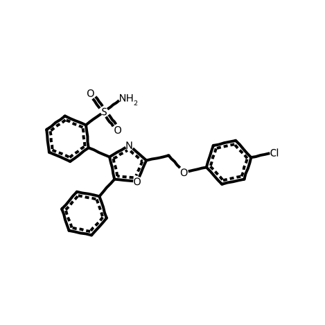 NS(=O)(=O)c1ccccc1-c1nc(COc2ccc(Cl)cc2)oc1-c1ccccc1